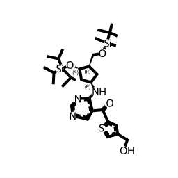 CC(C)[Si](O[C@H]1C[C@H](Nc2ncncc2C(=O)c2cc(CO)cs2)C[C@@H]1CO[Si](C)(C)C(C)(C)C)(C(C)C)C(C)C